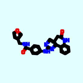 O=C1Cc2cnc(Nc3ccc(C(=O)NCc4ccoc4)cc3)nc2-c2ccccc2N1